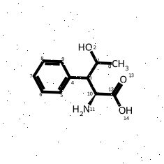 CC(O)C(c1ccccc1)[C@H](N)C(=O)O